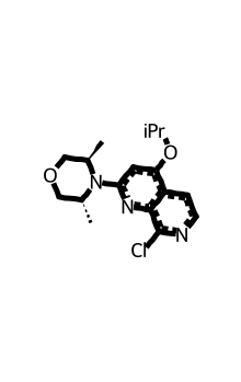 CC(C)Oc1cc(N2[C@H](C)COC[C@H]2C)nc2c(Cl)nccc12